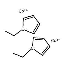 CC[c-]1cccc1.CC[c-]1cccc1.[Co+2].[Co+2]